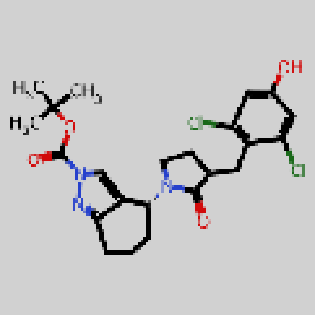 CC(C)(C)OC(=O)n1cc2c(n1)CCC[C@H]2N1CCC(Cc2c(Cl)cc(O)cc2Cl)C1=O